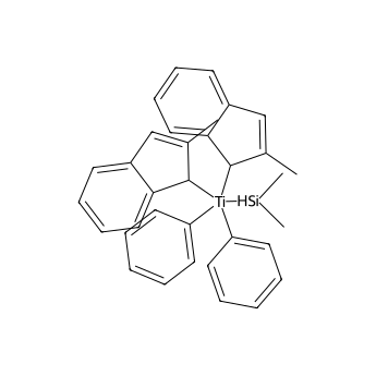 CC1=Cc2ccccc2[CH]1[Ti]([c]1ccccc1)([c]1ccccc1)([CH]1C(C)=Cc2ccccc21)[SiH](C)C